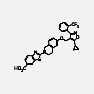 O=C(O)c1ccc2nc(N3CCc4cc(OCc5c(-c6ccccc6C(F)(F)F)noc5C5CC5)ccc4C3)sc2c1